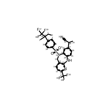 CCC(C)(c1ccc(S(=O)(=O)N2Cc3ccc(C(F)(F)F)nc3Nc3ccc(C(C)C#N)cc32)cc1)C(F)(F)F